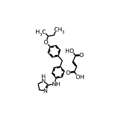 CCC(C)Oc1ccc(Cc2ccc(NC3=NCCN3)cc2)cc1.O=C(O)C=CC(=O)O